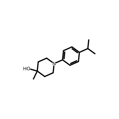 CC(C)c1ccc(N2CCC(C)(O)CC2)cc1